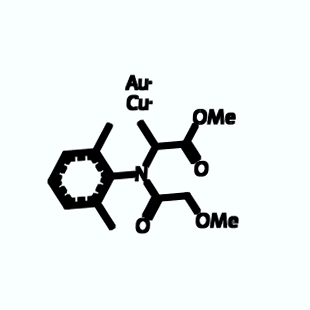 COCC(=O)N(c1c(C)cccc1C)C(C)C(=O)OC.[Au].[Cu]